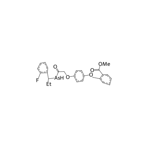 CCC([AsH]C(=O)COc1ccc(OCc2ccccc2C(=O)OC)cc1)c1ccccc1F